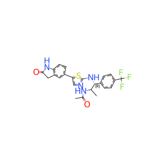 CC(=O)NC(C)[C@H](Nc1ncc(-c2ccc3c(c2)CC(=O)N3)s1)c1ccc(C(F)(F)F)cc1